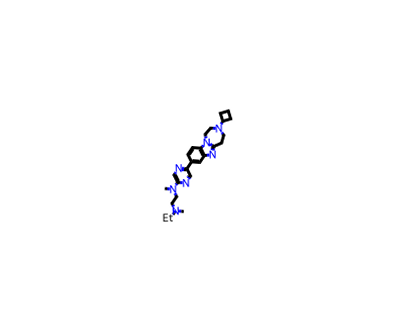 CCN(C)CCN(C)c1cnc(-c2ccc3c(c2)nc2n3CCN(C3CCC3)CC2)cn1